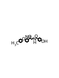 Cc1ccc(Oc2cccc(C(=O)CCNC(=O)c3ccc(O)cc3)c2N)cc1